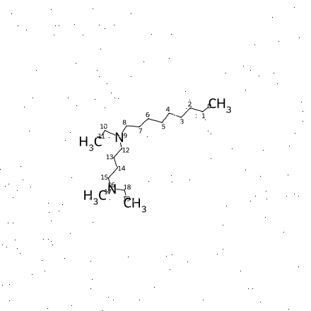 CCCCCCCCCN(CC)CCCCN(C)CC